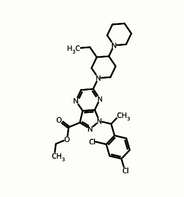 CCOC(=O)c1nn(C(C)c2ccc(Cl)cc2Cl)c2nc(N3CCC(N4CCCCC4)C(CC)C3)cnc12